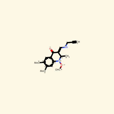 C#CCNC=C1C(=O)c2cc(OC)c(OC)cc2N(OC=O)C1C